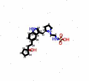 O=S(=O)(O)NCCN1CCC[C@@H]1Cc1c[nH]c2ccc(CCC3(O)CCCC3)cc12